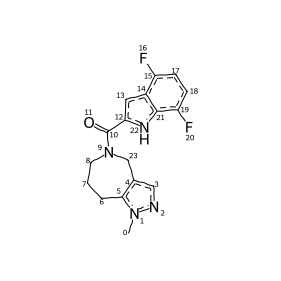 Cn1ncc2c1CCCN(C(=O)c1cc3c(F)ccc(F)c3[nH]1)C2